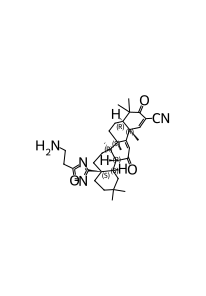 CC1(C)CC[C@]2(c3noc(CCN)n3)CC[C@]3(C)[C@H](C(=O)C=C4[C@@]5(C)C=C(C#N)C(=O)C(C)(C)[C@@H]5CC[C@]43C)[C@@H]2C1